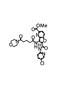 COC(=O)c1ccc2oc(C(=O)Nc3ccc(Cl)cn3)c(NC(=O)CCCC(=O)N3CCOCC3)c2n1